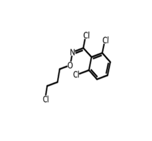 ClCCCO/N=C(/Cl)c1c(Cl)cccc1Cl